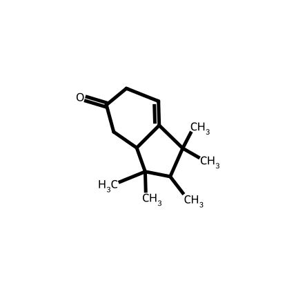 CC1C(C)(C)C2=CCC(=O)CC2C1(C)C